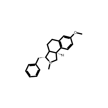 COc1ccc2c(c1)CCC1[C@@H]2CN(C)[C@@H]1Cc1ccccc1